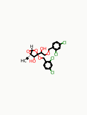 C#C[C@]12O[C@@H]1O[C@](OCc1ccc(Cl)cc1Cl)(C(O)COCc1ccc(Cl)cc1Cl)[C@H]2O